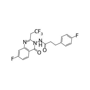 O=C(CCc1ccc(F)cc1)Nn1c(CC(F)(F)F)nc2cc(F)ccc2c1=O